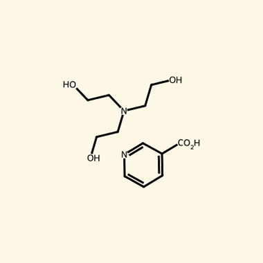 O=C(O)c1cccnc1.OCCN(CCO)CCO